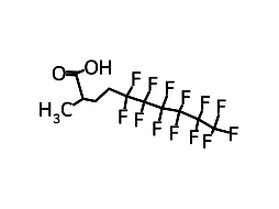 CC(CCC(F)(F)C(F)(F)C(F)(F)C(F)(F)C(F)(F)C(F)(F)F)C(=O)O